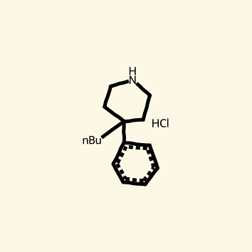 CCCCC1(c2ccccc2)CCNCC1.Cl